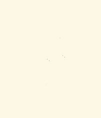 O=C(Nc1noc2ccccc12)c1ccccc1